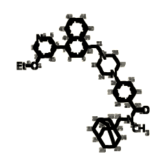 CCOc1cncc(-c2ccc(CN3CCN(c4ccc(C(=O)N(C)CC56CC7CC(CC(C7)C5)C6)cc4)CC3)c3ccccc23)c1